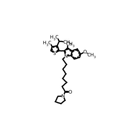 COc1ccc2c(c1)c(C)c(-c1scc(C)c1C(C)C)n2CCCCCCCC(=O)N1CCCC1